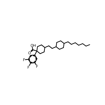 CCCCCCCC1CCC(CCC2CCC(C(=O)O)(c3cc(F)c(F)c(F)c3)CC2)CC1